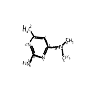 Cc1cc(N(C)C)nc([NH])n1